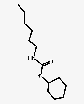 CCCCCCNC(=O)[N]C1CCCCC1